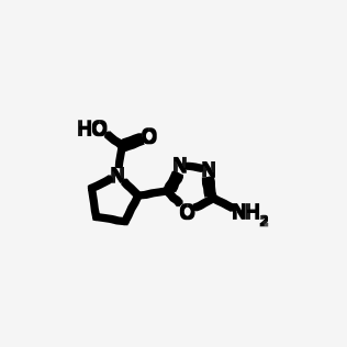 Nc1nnc(C2CCCN2C(=O)O)o1